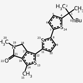 CCCCC(C)(C)c1ccc(-c2ccc(-c3sc(C)c4c3CN(C)C4=O)s2)s1